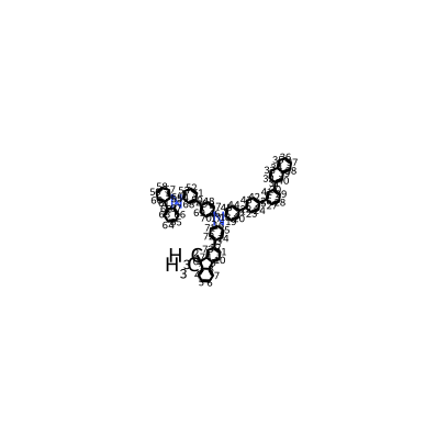 CC1(C)c2ccccc2-c2ccc(-c3ccc(N(c4ccc(-c5ccc(-c6cccc(-c7ccc8ccccc8c7)c6)cc5)cc4)c4ccc(-c5cccc(-n6c7ccccc7c7ccccc76)c5)cc4)cc3)cc21